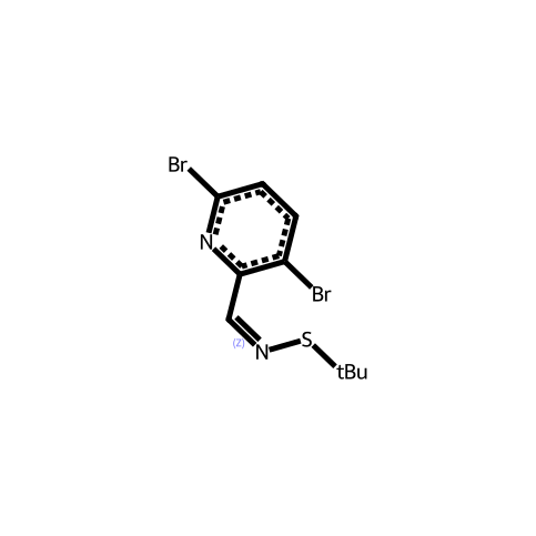 CC(C)(C)S/N=C\c1nc(Br)ccc1Br